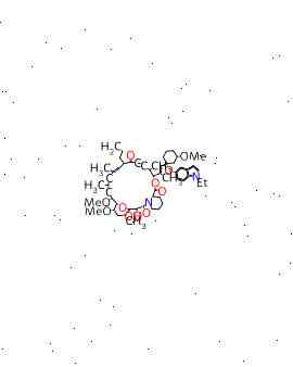 C=CCC1/C=C(\C)CC(C)CC(OC)C2OC(O)(C(=O)C(=O)N3CCCCC3C(=O)OC(C(C)=CC3(Oc4ccc5c(ccn5CC)c4)CCCC(OC)C3)C(C)CCC1=O)C(C)CC2OC